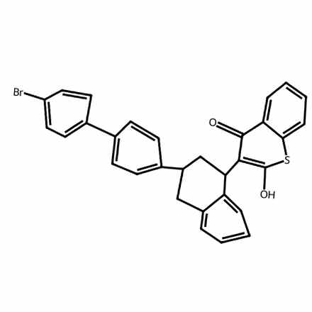 O=c1c(C2CC(c3ccc(-c4ccc(Br)cc4)cc3)Cc3ccccc32)c(O)sc2ccccc12